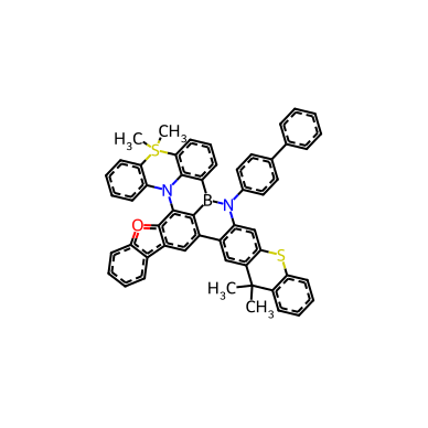 CC1(C)c2ccccc2Sc2cc3c(cc21)-c1cc2c(oc4ccccc42)c2c1B(c1cccc4c1N2c1ccccc1S4(C)C)N3c1ccc(-c2ccccc2)cc1